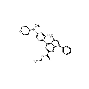 CCOC(=O)c1cc(-c2ccc(N(C)C3CCOCC3)cc2)c2c(C)nn(-c3ccccc3)c2n1